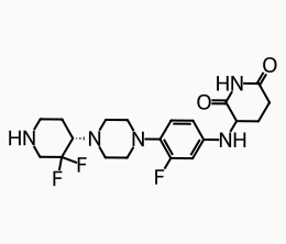 O=C1CCC(Nc2ccc(N3CCN([C@H]4CCNCC4(F)F)CC3)c(F)c2)C(=O)N1